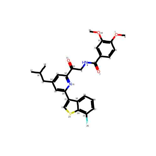 COc1ccc(C(=O)NCC(=O)c2cc(CC(C)C)cc(-c3csc4c(F)cccc34)n2)cc1OC